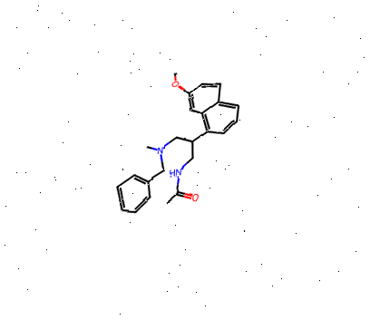 COc1ccc2cccc(C(CNC(C)=O)CN(C)Cc3ccccc3)c2c1